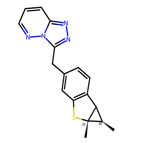 C[C@@H]1C2c3ccc(Cc4nnc5cccnn45)cc3S[C@]21C